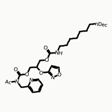 CCCCCCCCCCCCCCCCCNC(=O)OCC(COC(=O)N(Cc1ccccn1)C(C)=O)Oc1ccon1